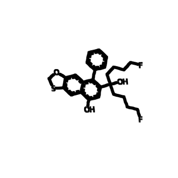 Oc1cc(C(O)(CCCCF)CCCCF)c(-c2ccccc2)c2cc3c(cc12)SCO3